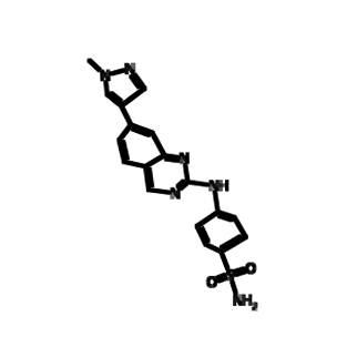 Cn1cc(-c2ccc3cnc(Nc4ccc(S(N)(=O)=O)cc4)nc3c2)cn1